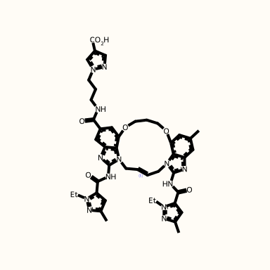 CCn1nc(C)cc1C(=O)Nc1nc2cc(C)cc3c2n1C/C=C/Cn1c(NC(=O)c2cc(C)nn2CC)nc2cc(C(=O)NCCCn4cc(C(=O)O)cn4)cc(c21)OCCCO3